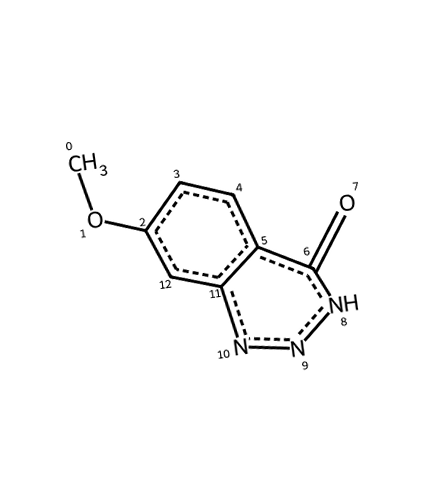 COc1ccc2c(=O)[nH]nnc2c1